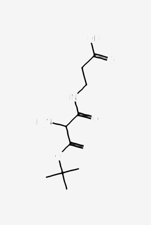 CC(C)(C)OC(=O)C(N)C(=O)NCCC(=O)O